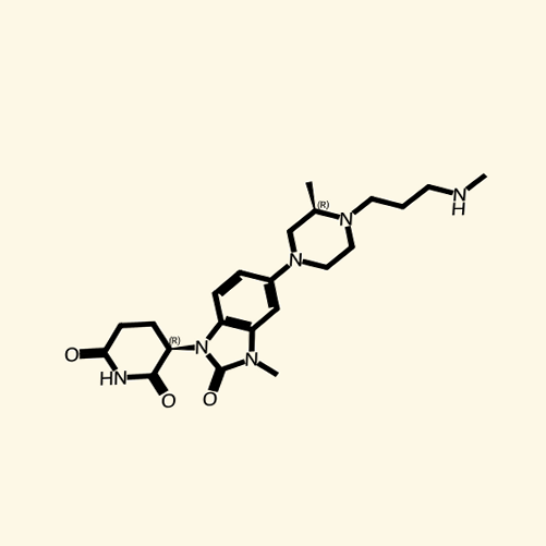 CNCCCN1CCN(c2ccc3c(c2)n(C)c(=O)n3[C@@H]2CCC(=O)NC2=O)C[C@H]1C